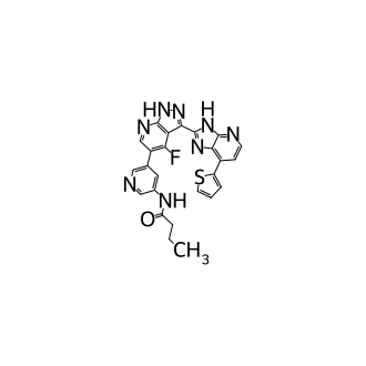 CCCC(=O)Nc1cncc(-c2cnc3[nH]nc(-c4nc5c(-c6cccs6)ccnc5[nH]4)c3c2F)c1